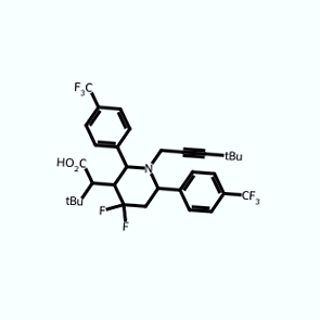 CC(C)(C)C#CCN1C(c2ccc(C(F)(F)F)cc2)CC(F)(F)C(C(C(=O)O)C(C)(C)C)C1c1ccc(C(F)(F)F)cc1